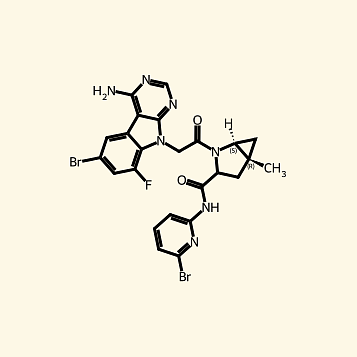 C[C@@]12CC(C(=O)Nc3cccc(Br)n3)N(C(=O)Cn3c4ncnc(N)c4c4cc(Br)cc(F)c43)[C@H]1C2